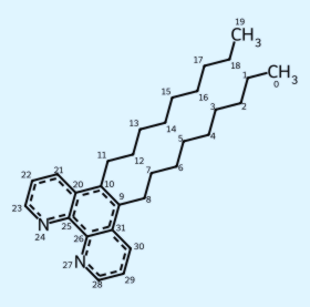 CCCCCCCCCc1c(CCCCCCCCC)c2cccnc2c2ncccc12